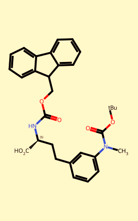 CN(C(=O)OC(C)(C)C)c1cccc(CC[C@H](NC(=O)OCC2c3ccccc3-c3ccccc32)C(=O)O)c1